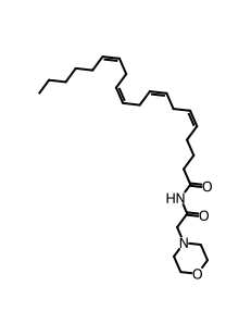 CCCCC/C=C\C/C=C\C/C=C\C/C=C\CCCC(=O)NC(=O)CN1CCOCC1